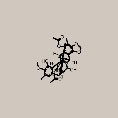 COc1c(C)cc2c(c1O)[C@@H]1N[C@H](C2)[C@H](O)N2C1[C@@H]1SC[C@@H](OC(C)=O)C(=O)OC[C@H]2c2c3c(c(C)c(OC(C)=O)c21)OCO3